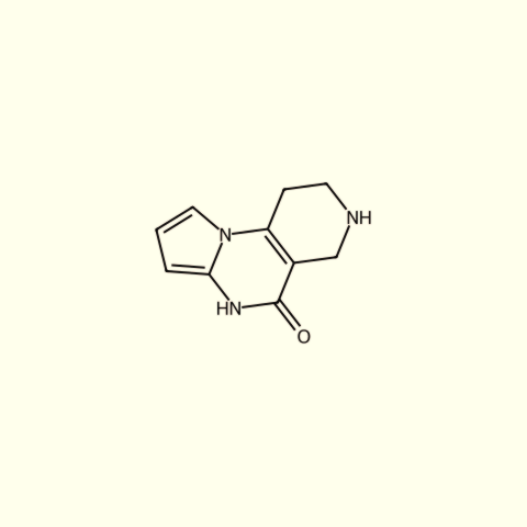 O=c1[nH]c2cccn2c2c1CNCC2